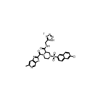 Cc1cc2c(cn1)SC(C(=O)N1CCN(S(=O)(=O)c3ccc4cc(Cl)ccc4c3)CC1C(=O)NCc1nnn[nH]1)=[N+]2.[I-]